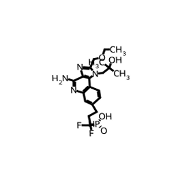 CCOCc1nc2c(N)nc3cc(CCC(F)(F)[PH](=O)O)ccc3c2n1CC(C)(C)O